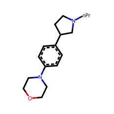 CCCN1CCC(c2ccc(N3CCOCC3)cc2)C1